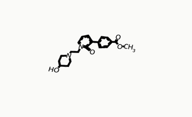 COC(=O)c1ccc(-c2cccn(CCN3CCC(O)CC3)c2=O)cc1